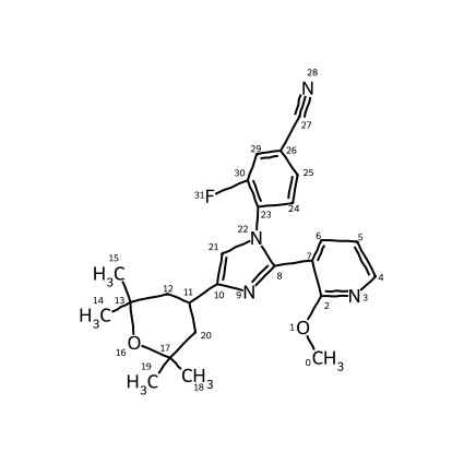 COc1ncccc1-c1nc(C2CC(C)(C)OC(C)(C)C2)cn1-c1ccc(C#N)cc1F